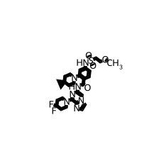 COCCS(=O)(=O)Nc1ccc(C(=O)Nc2cn3ccnc3c(N3CCC(F)(F)CC3)n2)c(N2CCC3(CC2)CC3)c1